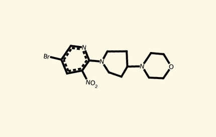 O=[N+]([O-])c1cc(Br)cnc1N1CCC(N2CCOCC2)CC1